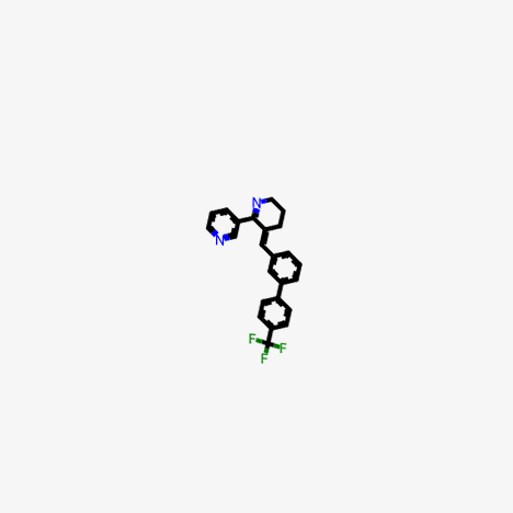 FC(F)(F)c1ccc(-c2cccc(C=C3CCCN=C3c3cccnc3)c2)cc1